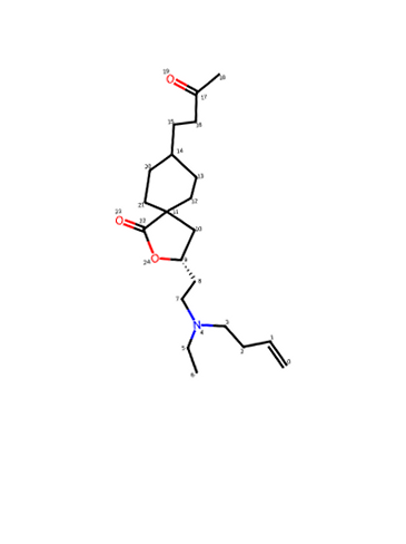 C=CCCN(CC)CC[C@H]1CC2(CCC(CCC(C)=O)CC2)C(=O)O1